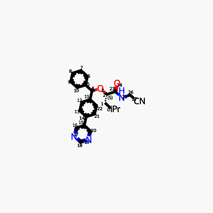 CC(C)C[C@H](OC(c1ccccc1)c1ccc(-c2cncnc2)cc1)C(=O)NCC#N